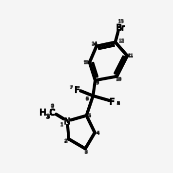 CN1CCCC1C(F)(F)c1ccc(Br)cc1